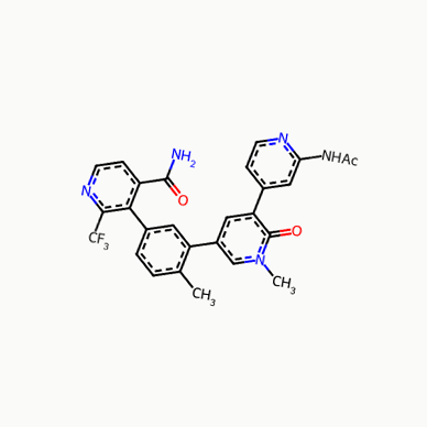 CC(=O)Nc1cc(-c2cc(-c3cc(-c4c(C(N)=O)ccnc4C(F)(F)F)ccc3C)cn(C)c2=O)ccn1